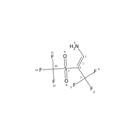 N/C=C(/C(F)(F)F)S(=O)(=O)C(F)(F)F